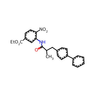 CCOC(=O)c1ccc([N+](=O)[O-])c(NC(=O)C(C)Cc2ccc(-c3ccccc3)cc2)c1